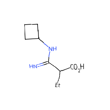 CCC(C(=N)NC1CCC1)C(=O)O